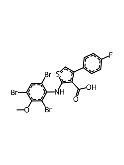 COc1c(Br)cc(Br)c(Nc2scc(-c3ccc(F)cc3)c2C(=O)O)c1Br